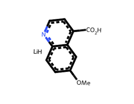 COc1ccc2nccc(C(=O)O)c2c1.[LiH]